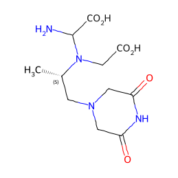 C[C@@H](CN1CC(=O)NC(=O)C1)N(CC(=O)O)C(N)C(=O)O